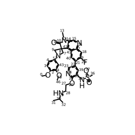 COc1ccc(N2CC3(C2)C(=O)N(C)c2cnc4cc(F)c(-c5cnc(OCCNC(C)C)c(NS(C)(=O)=O)c5)cc4c23)cc1OC